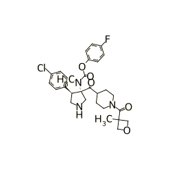 CN(C(=O)Oc1ccc(F)cc1)[C@]1(C(=O)C2CCN(C(=O)C3(C)COC3)CC2)CNC[C@H]1c1ccc(Cl)cc1